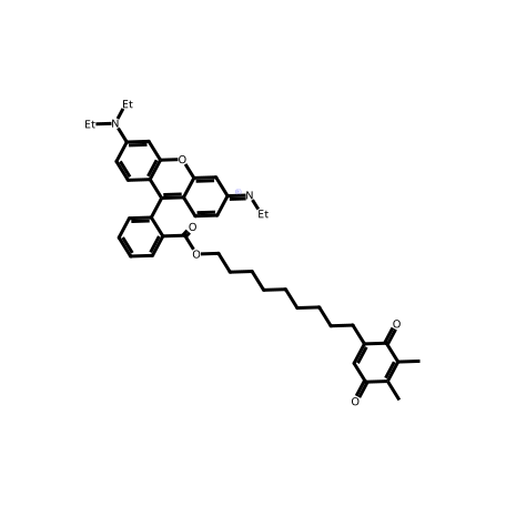 CC/N=c1\ccc2c(-c3ccccc3C(=O)OCCCCCCCCCC3=CC(=O)C(C)=C(C)C3=O)c3ccc(N(CC)CC)cc3oc-2c1